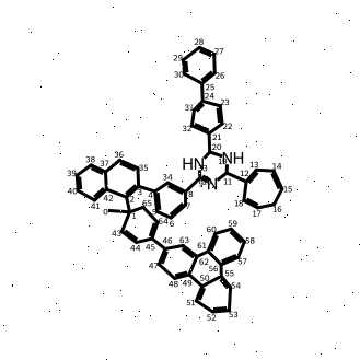 CC1(c2c(-c3cccc(C4=NC(C5=CC=CCC=C5)NC(c5ccc(-c6ccccc6)cc5)N4)c3)ccc3ccccc23)C=CC(c2ccc3c4ccccc4c4ccccc4c3c2)=CC1